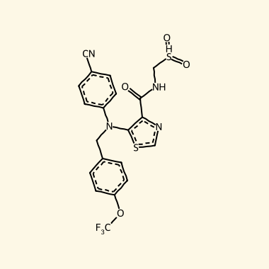 N#Cc1ccc(N(Cc2ccc(OC(F)(F)F)cc2)c2scnc2C(=O)NC[SH](=O)=O)cc1